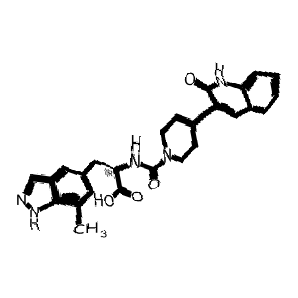 Cc1cc(C[C@@H](NC(=O)N2CCC(c3cc4ccccc4[nH]c3=O)CC2)C(=O)O)cc2cn[nH]c12